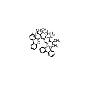 CC(C)C(C(C)C)N(CCN(C(C(C)C)C(C)C)P1Oc2ccccc2-c2ccccc21)P1Oc2ccccc2-c2ccccc21